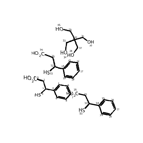 O=C(O)CC(S)c1ccccc1.O=C(O)CC(S)c1ccccc1.O=C(O)CC(S)c1ccccc1.OCC(CO)(CO)CO